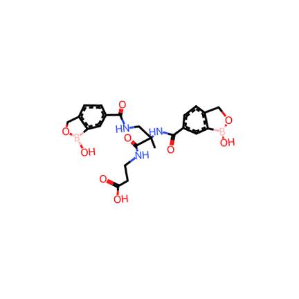 CC(CNC(=O)c1ccc2c(c1)B(O)OC2)(NC(=O)c1ccc2c(c1)B(O)OC2)C(=O)NCCC(=O)O